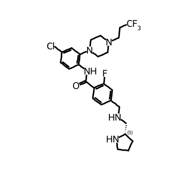 O=C(Nc1ccc(Cl)cc1N1CCN(CCC(F)(F)F)CC1)c1ccc(CNC[C@@H]2CCCN2)cc1F